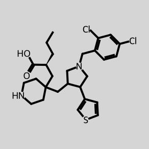 CCC[C@@H](CC1(CC2CN(Cc3ccc(Cl)cc3Cl)CC2c2ccsc2)CCNCC1)C(=O)O